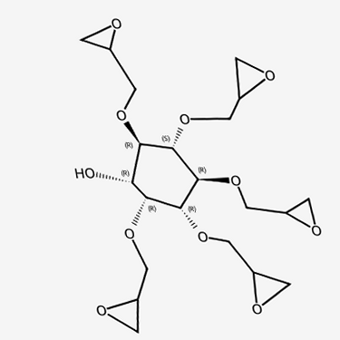 O[C@@H]1[C@@H](OCC2CO2)[C@H](OCC2CO2)[C@@H](OCC2CO2)[C@H](OCC2CO2)[C@@H]1OCC1CO1